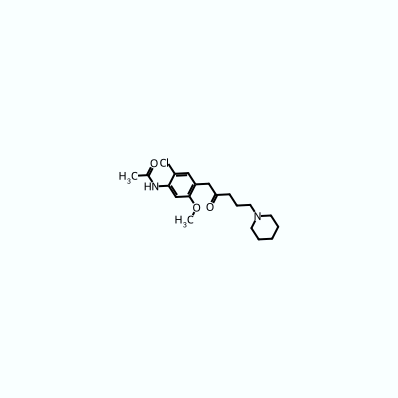 COc1cc(NC(C)=O)c(Cl)cc1CC(=O)CCCN1CCCCC1